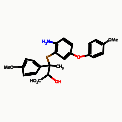 COc1ccc(Oc2ccc(N)c(SC(C)(c3ccc(OC)cc3)C(O)C(=O)O)c2)cc1